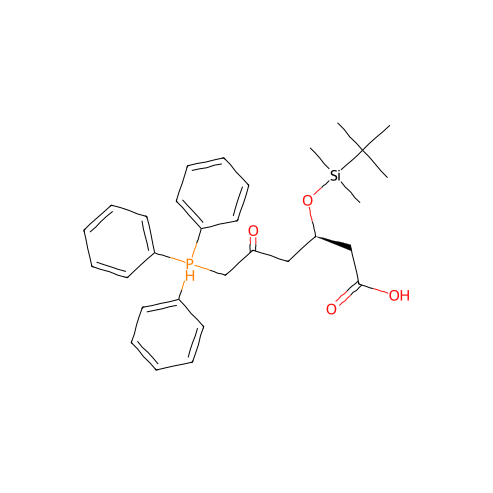 CC(C)(C)[Si](C)(C)O[C@@H](CC(=O)O)CC(=O)C[PH](c1ccccc1)(c1ccccc1)c1ccccc1